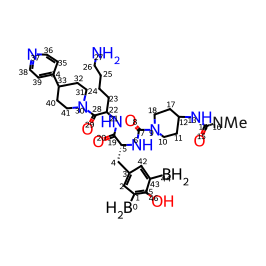 Bc1cc(C[C@@H](NC(=O)N2CCC(NC(=O)NC)CC2)C(=O)NC(CCCCN)C(=O)N2CCC(c3ccncc3)CC2)cc(B)c1O